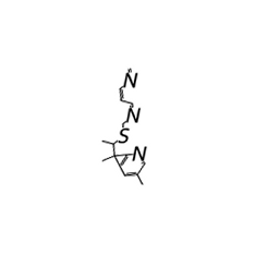 C=N/C=C\C=N/CSC(C)C1(C)c2cc(C)cnc21